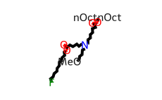 CCCCCCCCC(CCCCCCCC)OC(=O)CCCCCCCN(CCCCCOC)CCCCCC(=O)OCCCCCCCCCCCF